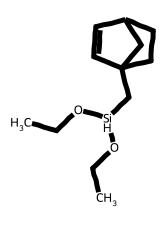 CCO[SiH](CC12C=CC(CC1)C2)OCC